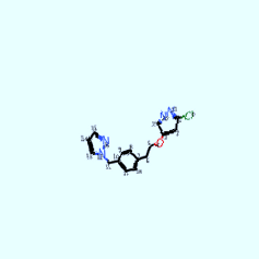 Clc1cc(OCCc2ccc(Cn3cccn3)cc2)cnn1